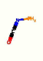 O=C=NP